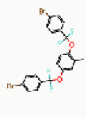 Cc1cc(OC(F)(F)c2ccc(Br)cc2)ccc1OC(F)(F)c1ccc(Br)cc1